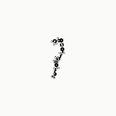 COc1nc(CCCNC(=O)c2ccc(N3CCN(c4cccc5c4CN(C4CCC(=O)NC4=O)C5=O)CC3)cc2)cnc1NS(=O)(=O)c1ccc(NC(=O)/C=C/c2ccc([N+](=O)[O-])s2)cc1